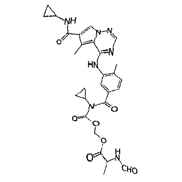 Cc1ccc(C(=O)N(C(=O)OCOC(=O)C(C)NC=O)C2CC2)cc1Nc1ncnn2cc(C(=O)NC3CC3)c(C)c12